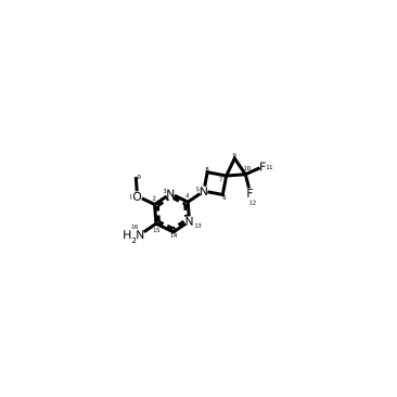 COc1nc(N2CC3(C2)CC3(F)F)ncc1N